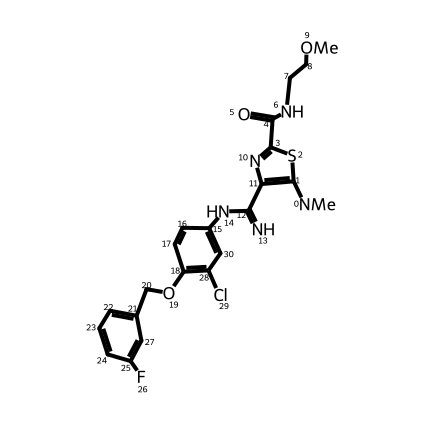 CNc1sc(C(=O)NCCOC)nc1C(=N)Nc1ccc(OCc2cccc(F)c2)c(Cl)c1